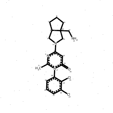 Cc1nc(N2CC3CCCC3(CN)C2)cc(=O)n1-c1cccc(Cl)c1Cl